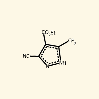 CCOC(=O)c1c(C#N)n[nH]c1C(F)(F)F